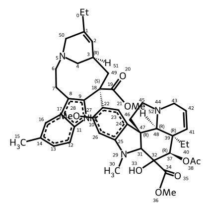 CCC1=C[C@@H]2CN(CCc3c([nH]c4ccc(C)cc34)[C@@](C(=O)OC)(c3cc4c(cc3OC)N(C)C3C(O)(C(=O)OC)[C@H](OC(C)=O)[C@]5(CC)C=CCN6CC[C@]43[C@@H]65)C2)C1